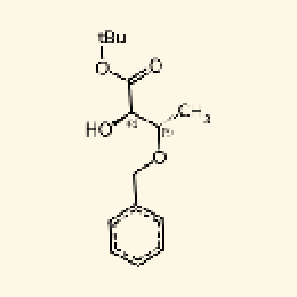 C[C@H](OCc1ccccc1)[C@@H](O)C(=O)OC(C)(C)C